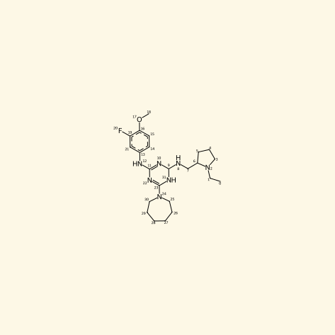 CCN1CCCC1CNC1N=C(Nc2ccc(OC)c(F)c2)N=C(N2CCCCCC2)N1